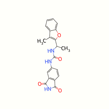 Cc1c(C(C)NC(=O)Nc2ccc3c(c2)C(=O)NC3=O)oc2ccccc12